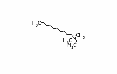 CCCCCCCCCC[Si](C)(C)CC